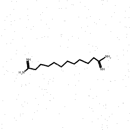 N=C(N)CCCCCCCCCCC(=N)N